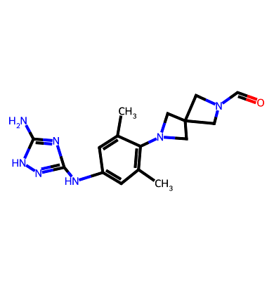 Cc1cc(Nc2n[nH]c(N)n2)cc(C)c1N1CC2(CN(C=O)C2)C1